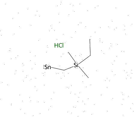 CC[Si](C)(C)[CH2][Sn].Cl